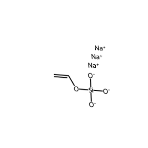 C=CO[Si]([O-])([O-])[O-].[Na+].[Na+].[Na+]